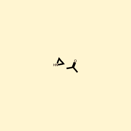 C1CN1.CC(C)=O